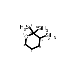 [SiH3]C1CCCOC1([SiH3])[SiH3]